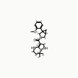 COc1ccccc1C12CC1CN(C(=O)C1=C3NCCC(C)(C)N3NC1)C2